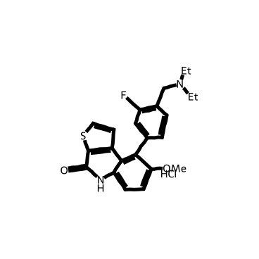 CCN(CC)Cc1ccc(-c2c(OC)ccc3[nH]c(=O)c4sccc4c23)cc1F.Cl